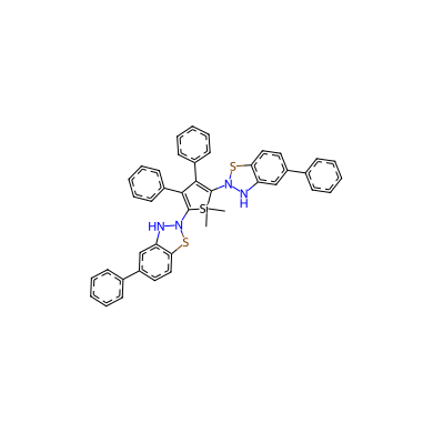 C[Si]1(C)C(N2Nc3cc(-c4ccccc4)ccc3S2)=C(c2ccccc2)C(c2ccccc2)=C1N1Nc2cc(-c3ccccc3)ccc2S1